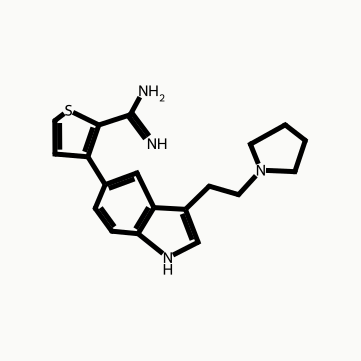 N=C(N)c1sccc1-c1ccc2[nH]cc(CCN3CCCC3)c2c1